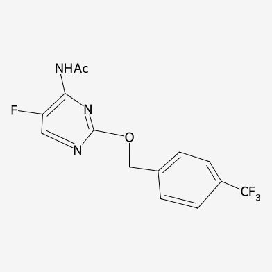 CC(=O)Nc1nc(OCc2ccc(C(F)(F)F)cc2)ncc1F